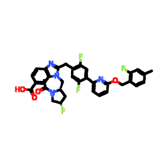 CC(=O)N1C[C@@H](F)C[C@@H]1Cn1c(Cc2cc(F)c(-c3cccc(OCc4ccc(C)cc4F)n3)cc2F)nc2ccc(C(=O)O)cc21